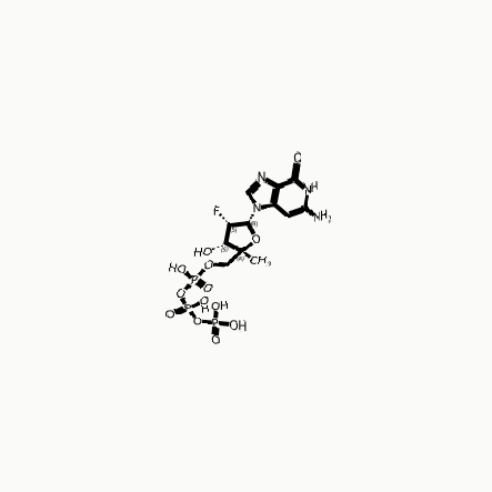 C[C@]1(COP(=O)(O)OP(=O)(O)OP(=O)(O)O)O[C@@H](n2cnc3c(=O)[nH]c(N)cc32)[C@@H](F)[C@H]1O